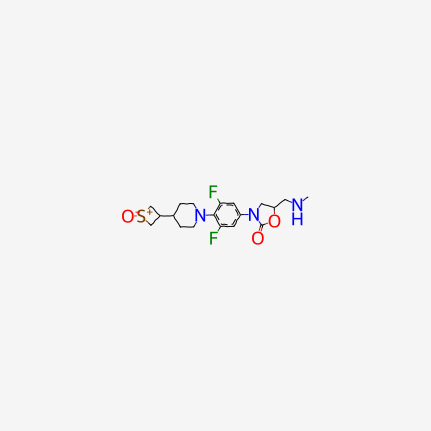 CNCC1CN(c2cc(F)c(N3CCC(C4C[S+]([O-])C4)CC3)c(F)c2)C(=O)O1